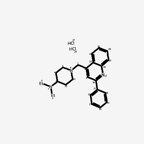 CCN(CC)C1CCN(Cc2cc(-c3ccccc3)nc3ccccc23)CC1.Cl.Cl